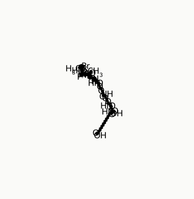 CC(=O)c1nn(CC(=O)N2C[C@H](F)C[C@H]2C(=O)Nc2nc(Br)ccc2C)c2ccc(-c3cnc(CNC(=O)COCCOCCNC(=O)COCCOCCNC(=O)CC[C@H](NC(=O)CCCCCCCCCCCCCCCCC(=O)O)C(=O)O)nc3)cc12